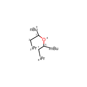 CCCCC(CC(C)C)OC(CCCC)CC(C)C